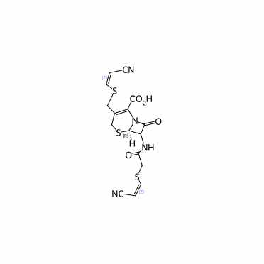 N#C/C=C\SCC(=O)NC1C(=O)N2C(C(=O)O)=C(CS/C=C\C#N)CS[C@H]12